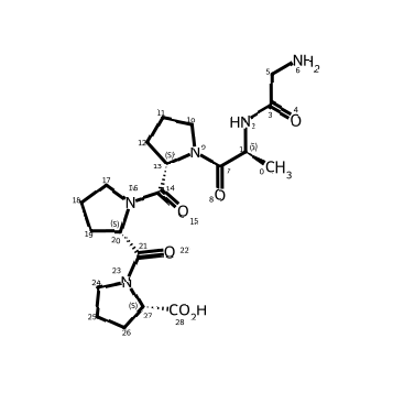 C[C@H](NC(=O)CN)C(=O)N1CCC[C@H]1C(=O)N1CCC[C@H]1C(=O)N1CCC[C@H]1C(=O)O